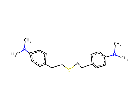 CN(C)c1ccc(CCSCCc2ccc(N(C)C)cc2)cc1